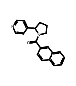 O=C(c1[c]cc2ccccc2c1)N1CCCC1c1ccncc1